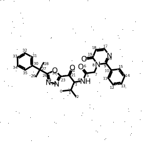 CC(C)C(NC(=O)Cn1c(-c2ccccc2)nccc1=O)C(=O)c1nnc(C(C)(C)c2ccccc2)o1